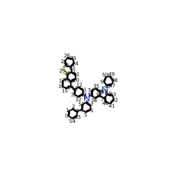 c1ccc(-c2cccc(N(c3ccc(-c4cccc5c4ccc4c6ccccc6sc54)cc3)c3ccc4c(c3)c3ccccc3n4-c3ccccc3)c2)cc1